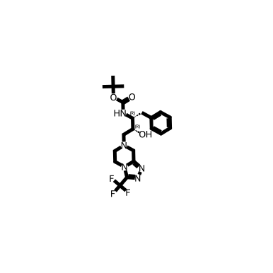 CC(C)(C)OC(=O)N[C@H](Cc1ccccc1)[C@H](O)CN1CCn2c(nnc2C(F)(F)F)C1